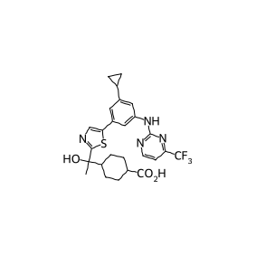 CC(O)(c1ncc(-c2cc(Nc3nccc(C(F)(F)F)n3)cc(C3CC3)c2)s1)C1CCC(C(=O)O)CC1